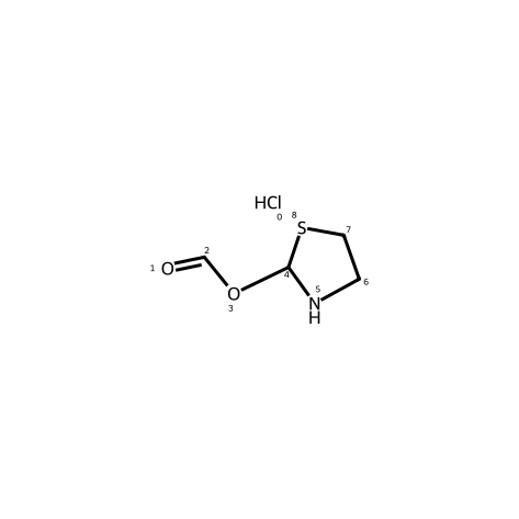 Cl.O=COC1NCCS1